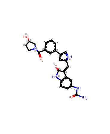 NC(=O)Nc1ccc2c(c1)C(=Cc1cc(-c3cccc(C(=O)N4CC[C@@H](O)C4)c3)c[nH]1)C(=O)N2